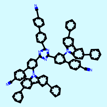 N#Cc1ccc(-c2ccc(-c3nc(-c4ccc(-c5ccc(C#N)cc5)c(-n5c6ccc(-c7ccccc7)cc6c6cc(-c7ccccc7)ccc65)c4)nc(-c4ccc(-c5ccc(C#N)cc5)c(-n5c6ccc(-c7ccccc7)cc6c6cc(-c7ccccc7)ccc65)c4)n3)cc2)cc1